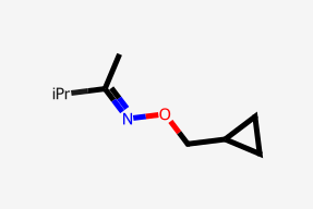 C/C(=N\OCC1CC1)C(C)C